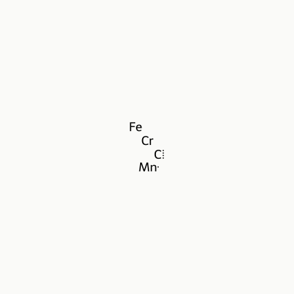 [C].[Cr].[Fe].[Mn]